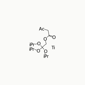 CC(=O)CC(=O)OCC(OC(C)C)(OC(C)C)OC(C)C.[Ti]